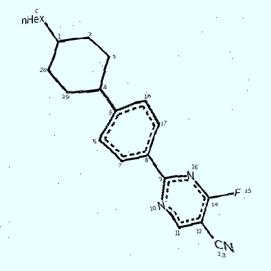 CCCCCCC1CCC(c2ccc(-c3ncc(C#N)c(F)n3)cc2)CC1